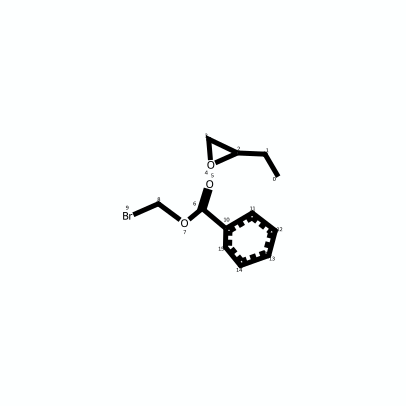 CCC1CO1.O=C(OCBr)c1ccccc1